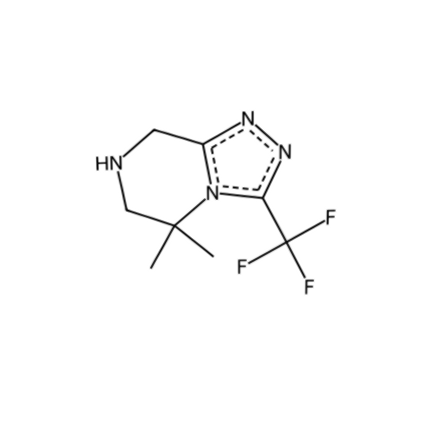 CC1(C)CNCc2nnc(C(F)(F)F)n21